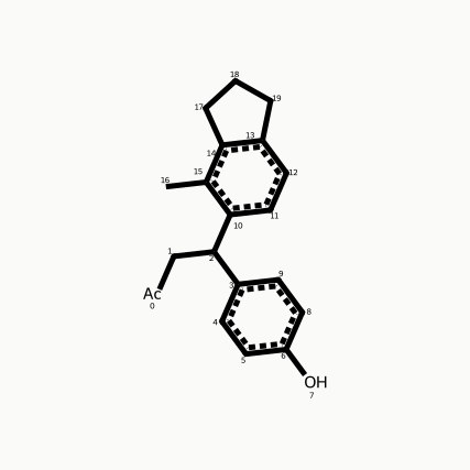 CC(=O)CC(c1ccc(O)cc1)c1ccc2c(c1C)CCC2